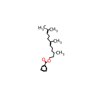 CC(C)=CCC/C(C)=C/CC[C@H](C)CCOC(=O)c1ccccc1